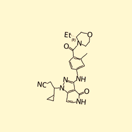 CC[C@@H]1COCCN1C(=O)c1ccc(Nc2nn(C(CC#N)C3CC3)c3cc[nH]c(=O)c23)cc1C